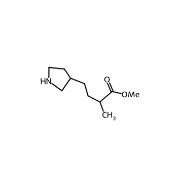 COC(=O)C(C)CCC1CCNC1